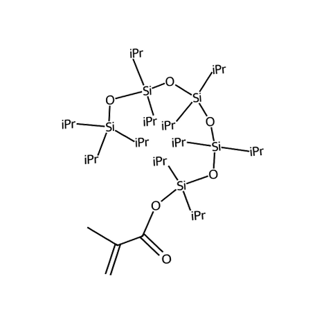 C=C(C)C(=O)O[Si](O[Si](O[Si](O[Si](O[Si](C(C)C)(C(C)C)C(C)C)(C(C)C)C(C)C)(C(C)C)C(C)C)(C(C)C)C(C)C)(C(C)C)C(C)C